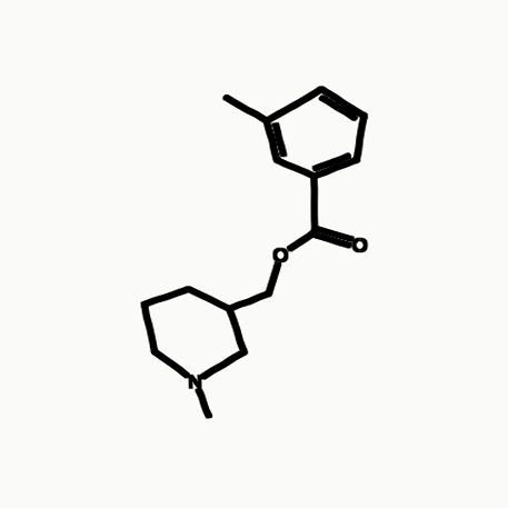 Cc1cccc(C(=O)OCC2CCCN(C)C2)c1